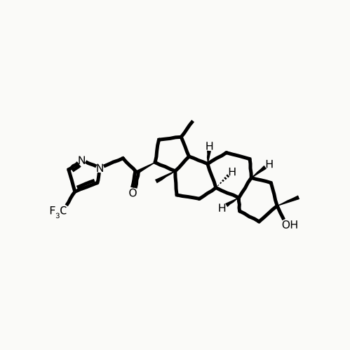 CC1C[C@H](C(=O)Cn2cc(C(F)(F)F)cn2)[C@@]2(C)CC[C@@H]3[C@H]4CC[C@@](C)(O)C[C@H]4CC[C@H]3C12